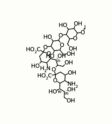 NC1C(O)CC(OC2C(O)C(CO)OC(OC3C(CO)OC(OI)C(O)C3O)C2O)(C(=O)O)OC1[C@H](O)C(CO)OC1(C(=O)O)CC(O)C(N)C([C@H](O)[C@H](O)CO)O1